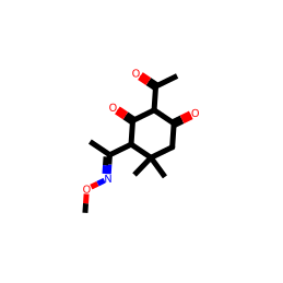 CON=C(C)C1C(=O)C(C(C)=O)C(=O)CC1(C)C